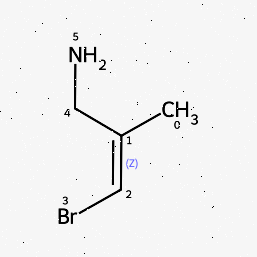 C/C(=C/Br)CN